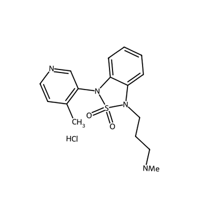 CNCCCN1c2ccccc2N(c2cnccc2C)S1(=O)=O.Cl